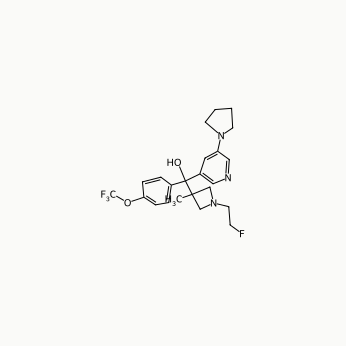 CC1(C(O)(c2ccc(OC(F)(F)F)cc2)c2cncc(N3CCCC3)c2)CN(CCF)C1